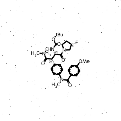 COc1ccc(C(=O)N(C)c2ccc([C@H](C(=O)N(C)C)[C@H](NC(=O)OC(C)(C)C)C(=O)N3CC[C@H](F)C3)cc2)cc1